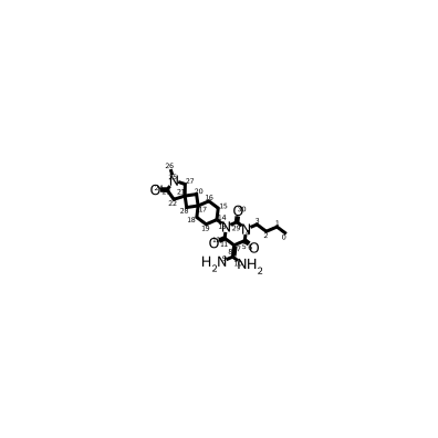 CCCCN1C(=O)C(=C(N)N)C(=O)N(C2CCC3(CC2)CC2(CC(=O)N(C)C2)C3)C1=O